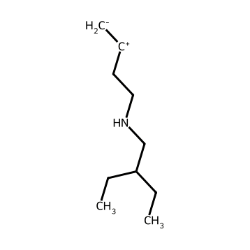 [CH2-][CH+]CCNCC(CC)CC